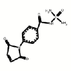 NP(N)(=O)NC(=O)c1ccc(N2C(=O)C=CC2=O)cc1